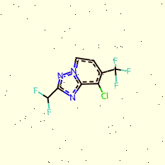 FC(F)c1nc2c(Cl)c(C(F)(F)F)ccn2n1